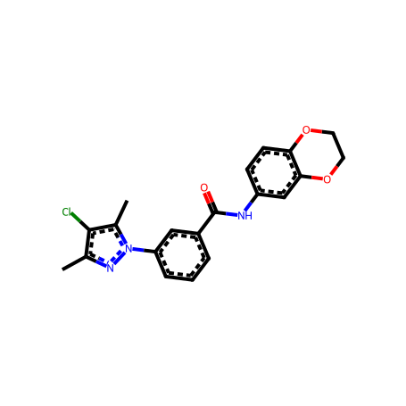 Cc1nn(-c2cccc(C(=O)Nc3ccc4c(c3)OCCO4)c2)c(C)c1Cl